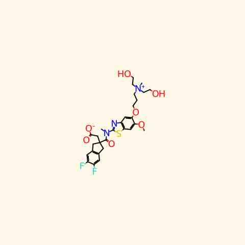 COc1cc2sc(N(C)C(=O)C3(CC(=O)[O-])Cc4cc(F)c(F)cc4C3)nc2cc1OCCC[N+](C)(CCO)CCO